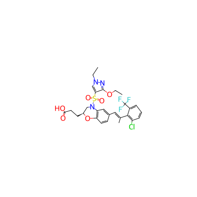 CCOc1nn(CC)cc1S(=O)(=O)N1C[C@H](CCC(=O)O)Oc2ccc(/C=C(\C)c3c(Cl)cccc3C(F)(F)F)cc21